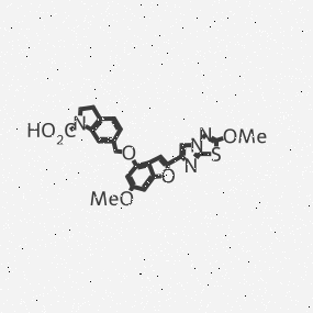 COc1cc(OCc2ccc3c(c2)N(C(=O)O)CC3)c2cc(-c3cn4nc(OC)sc4n3)oc2c1